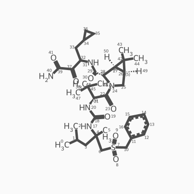 CC(C)CC(C)(CS(=O)(=O)Cc1ccccc1)NC(=O)N[C@H](C(=O)N1C[C@H]2[C@@H]([C@H]1C(=O)NC(CC1CC1)C(=O)C(N)=O)C2(C)C)C(C)(C)C